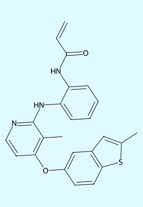 C=CC(=O)Nc1ccccc1Nc1nccc(Oc2ccc3sc(C)cc3c2)c1C